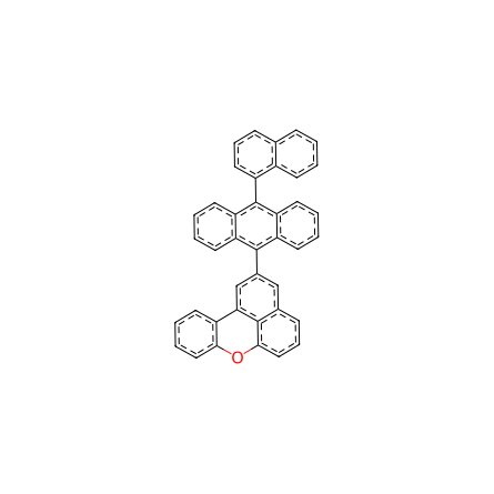 c1ccc2c(c1)Oc1cccc3cc(-c4c5ccccc5c(-c5cccc6ccccc56)c5ccccc45)cc-2c13